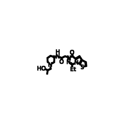 CCc1nn(CC(=O)N[C@@H]2CCCN(CC(C)O)C2)c(=O)c2cc3ccsc3n12